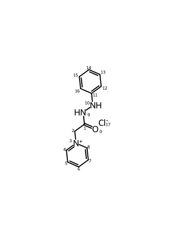 O=C(C[n+]1ccccc1)NNc1ccccc1.[Cl-]